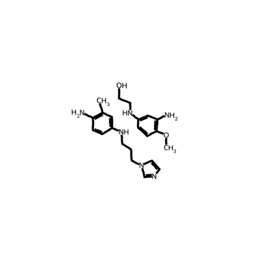 COc1ccc(NCCO)cc1N.Cc1cc(NCCCn2ccnc2)ccc1N